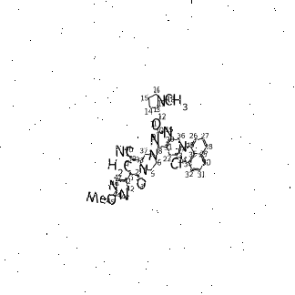 C=C(C(=O)N1CCN(c2nc(OC[C@@H]3CCCN3C)nc3c2CCN(c2cccc4cccc(Cl)c24)C3)C[C@@H]1CC#N)c1cnc(OC)nc1